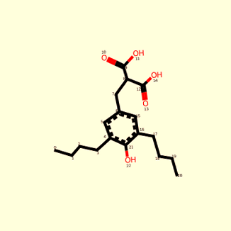 CCCCc1cc(CC(C(=O)O)C(=O)O)cc(CCCC)c1O